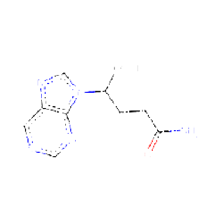 NC(=O)CCC(C(=O)O)n1cnc2cncnc21